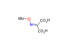 CC(C)(C)ON=C(C(=O)O)C(=O)O